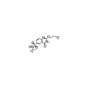 Cn1c(OCCC2CC2)nc2ccc(S(=O)(=O)NC3(C)CC3)cc2c1=O